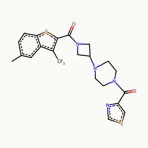 Cc1ccc2sc(C(=O)N3CC(N4CCN(C(=O)c5cscn5)CC4)C3)c(C(F)(F)F)c2c1